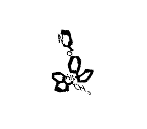 C[C@@H](NC1(c2ccc(OCc3cccnc3)cc2)CCCC1)c1cccc2ccccc12